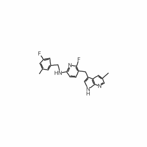 Cc1cc(F)cc(CNc2ccc(Cc3c[nH]c4ncc(C)cc34)c(F)n2)c1